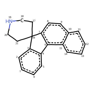 c1ccc2c(c1)-c1c(ccc3ccccc13)C21CCNCC1